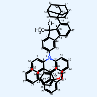 CC1(C)c2ccc(N(c3ccccc3-c3cccc4cccc(-c5ccccc5)c34)c3cccc4oc5ccccc5c34)cc2-c2cccc(C34CC5CC(CC(C5)C3)C4)c21